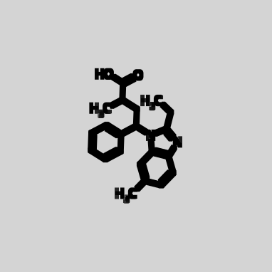 CCc1nc2ccc(C)cc2n1C(CC(C)C(=O)O)c1ccccc1